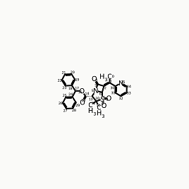 C/C(=C1\C(=O)N2C1S(=O)(=O)C(C)(C)[C@@H]2C(=O)OC(c1ccccc1)c1ccccc1)c1ccccn1